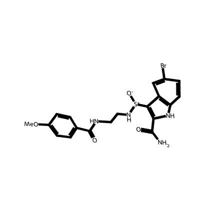 COc1ccc(C(=O)NCCN[S+]([O-])c2c(C(N)=O)[nH]c3ccc(Br)cc23)cc1